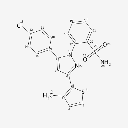 Cc1ccsc1-c1cc(-c2ccc(Cl)cc2)n(-c2ccccc2S(N)(=O)=O)n1